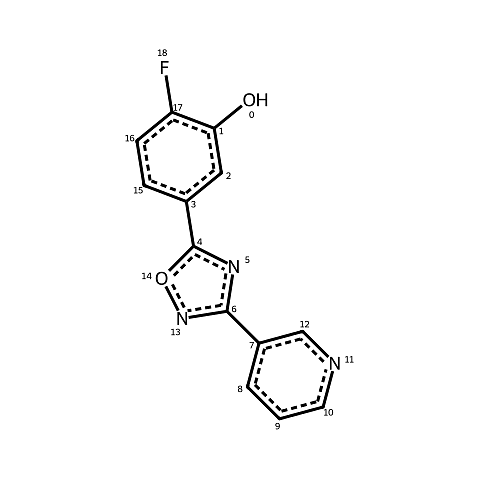 Oc1cc(-c2nc(-c3cccnc3)no2)ccc1F